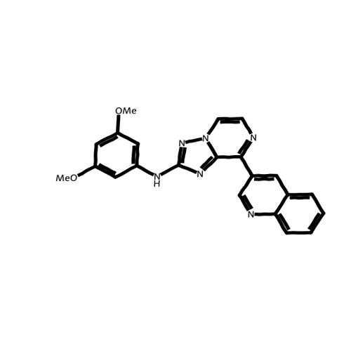 COc1cc(Nc2nc3c(-c4cnc5ccccc5c4)nccn3n2)cc(OC)c1